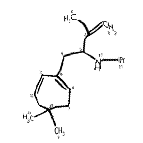 C=C(C)C(CC1=CCC(C)(C)C=C1)NC(C)C